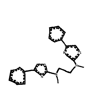 CN(CCN(C)c1nc(-c2ccccc2)cs1)c1nc(-c2ccccc2)cs1